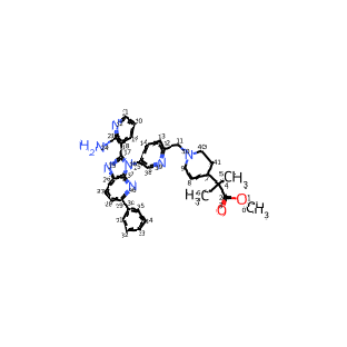 COC(=O)C(C)(C)C1CCN(Cc2ccc(-n3c(-c4cccnc4N)nc4ccc(-c5ccccc5)nc43)cn2)CC1